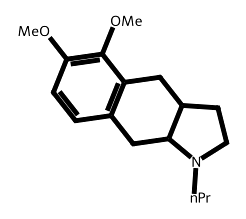 CCCN1CCC2Cc3c(ccc(OC)c3OC)CC21